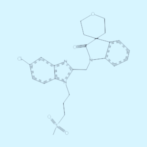 CS(=O)(=O)CCCn1c(CN2C(=O)C3(CCOCC3)c3ccccc32)nc2cc(Cl)ccc21